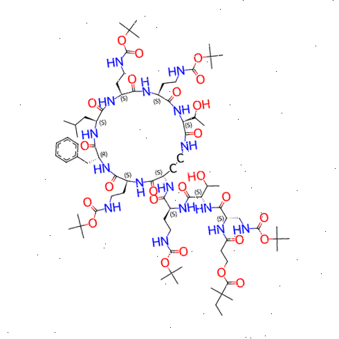 CCC(C)(C)C(=O)OCCC(=O)N[C@@H](CNC(=O)OC(C)(C)C)C(=O)N[C@H](C(=O)N[C@@H](CCNC(=O)OC(C)(C)C)C(=O)N[C@H]1CCNC(=O)[C@H](C(C)O)NC(=O)[C@H](CCNC(=O)OC(C)(C)C)NC(=O)[C@H](CCNC(=O)OC(C)(C)C)NC(=O)[C@H](CC(C)C)NC(=O)[C@@H](Cc2ccccc2)NC(=O)[C@H](CCNC(=O)OC(C)(C)C)NC1=O)C(C)O